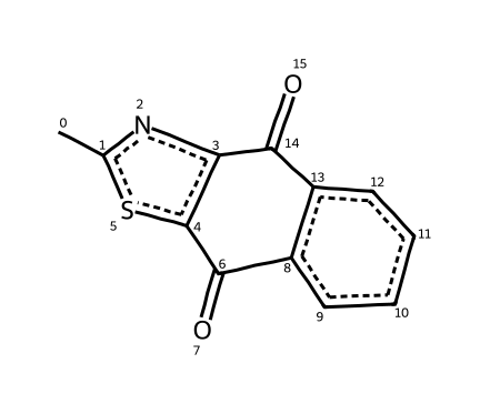 Cc1nc2c(s1)C(=O)c1ccccc1C2=O